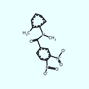 Cc1ccccc1N(C)C(=O)c1ccc([N+](=O)[O-])c([N+](=O)[O-])c1